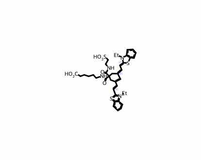 CCN1/C(=C/C=C2C=C(/C=C/c3sc4ccccc4[n+]3CC)CC(C(=O)NCCCCCC(=O)O)(C(=O)NCCS(=O)(=O)O)C/2)Sc2ccccc21